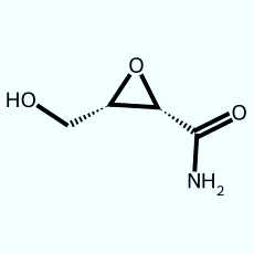 NC(=O)[C@H]1O[C@H]1CO